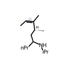 C/C=C(/C)[C@H](C)CC(CCC)NC(C)C